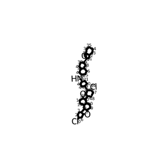 Clc1ccc2c(c1)oc1ccc3c(ccc4oc5c(-c6ccc(Nc7ccc8cc(-c9cc%10ccccc%10o9)ccc8c7)cc6)c(Cl)ccc5c43)c12